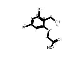 O=C(O)CSc1cc(Br)cc(F)c1CO